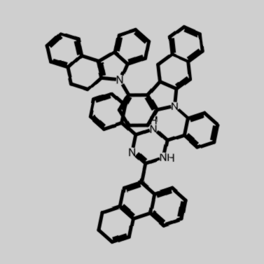 C1=CCC(C2N=C(c3cc4c(c5ccccc35)C=CCC4)NC(c3ccccc3N3C4=Cc5ccccc5CC4C4=C3CCC=C4n3c4c(c5ccccc53)-c3ccccc3CC4)N2)C=C1